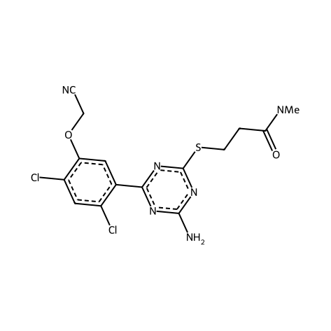 CNC(=O)CCSc1nc(N)nc(-c2cc(OCC#N)c(Cl)cc2Cl)n1